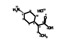 CCC(C(=O)O)[C@H]1CC[C@H](N)CC1.Cl